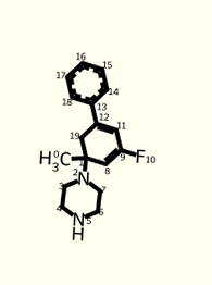 CC1(N2CCNCC2)C=C(F)C=C(c2ccccc2)C1